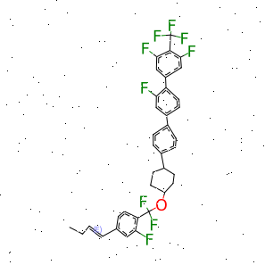 CC/C=C/c1ccc(C(F)(F)OC2CCC(c3ccc(-c4ccc(-c5cc(F)c(C(F)(F)F)c(F)c5)c(F)c4)cc3)CC2)c(F)c1